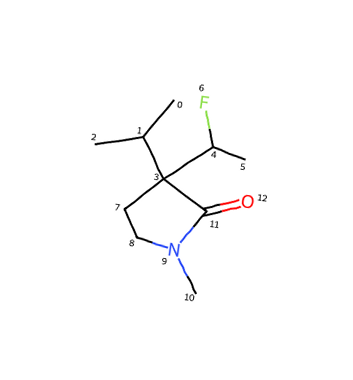 CC(C)C1(C(C)F)CCN(C)C1=O